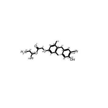 Cc1cc(OCC(=O)OC(CN)C(C)C)cc(C)c1Cc1ccc(O)c(C(C)C)c1